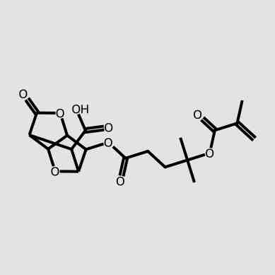 C=C(C)C(=O)OC(C)(C)CCC(=O)OC1C2OC(=O)C3C2OC1C3C(=O)O